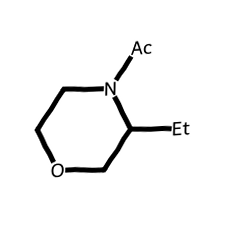 CCC1COCCN1C(C)=O